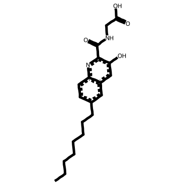 CCCCCCCCc1ccc2nc(C(=O)NCC(=O)O)c(O)cc2c1